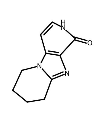 O=c1[nH]ccc2c1nc1n2CCCC1